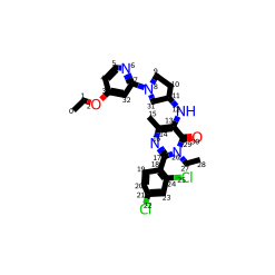 CCOc1ccnc(N2CCC(Nc3c(C)nc(-c4ccc(Cl)cc4Cl)n(CC)c3=O)C2)c1